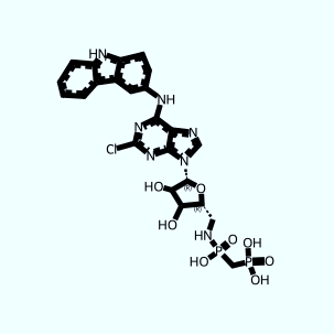 O=P(O)(O)CP(=O)(O)NC[C@H]1O[C@@H](n2cnc3c(Nc4ccc5[nH]c6ccccc6c5c4)nc(Cl)nc32)C(O)C1O